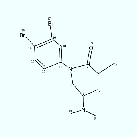 CCC(=O)N(CC(C)N(C)C)c1ccc(Br)c(Br)c1